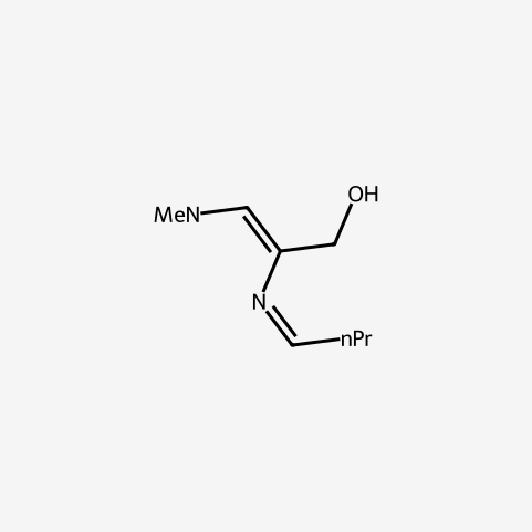 CCC/C=N\C(=C/NC)CO